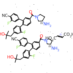 CC(C)(O)Cc1ccc(-c2ccc(C(=O)N3CC[C@H](N)C3)cc2-c2ccc(C#N)c(F)c2)c(F)c1.CC(C)(O)Cc1ccc(-c2ccc(C(=O)N3CC[C@H](N)C3)cc2-c2ccc(C#N)c(F)c2)c(F)c1.O=C(O)/C=C/C(=O)O